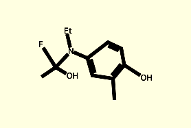 CCN(c1ccc(O)c(C)c1)C(C)(O)F